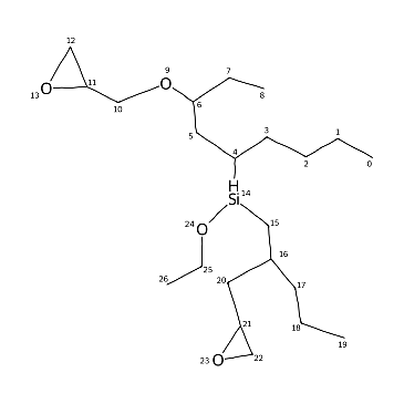 CCCCC(CC(CC)OCC1CO1)[SiH](CC(CCC)CC1CO1)OCC